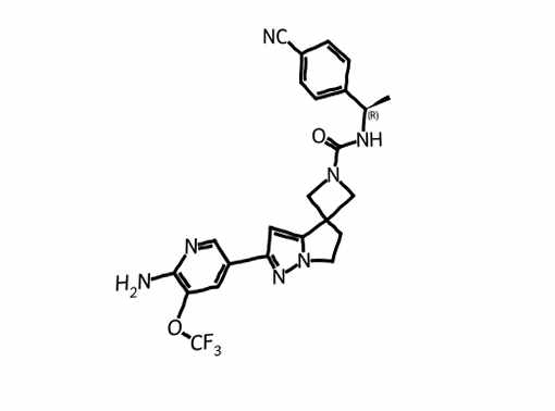 C[C@@H](NC(=O)N1CC2(CCn3nc(-c4cnc(N)c(OC(F)(F)F)c4)cc32)C1)c1ccc(C#N)cc1